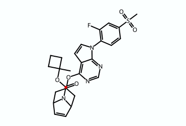 CC1(OC(=O)N2C3C=CC2CC(Oc2ncnc4c2ccn4-c2ccc(S(C)(=O)=O)cc2F)C3)CCC1